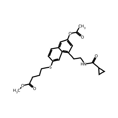 COC(=O)CCCSc1ccc2cc(OC(C)=O)cc(CCNC(=O)C3CC3)c2c1